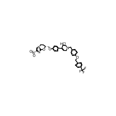 Cl.O=[N+]([O-])c1cn2c(n1)O[C@@H](COc1ccc(C3=CCN(Cc4ccc(OCc5ccc(C(F)(F)F)cc5)cc4)CC3)cc1)CC2